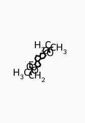 C=C(C)C(=O)Oc1ccc2c(ccc3c(F)c(OC(=O)C(=C)C)ccc32)c1